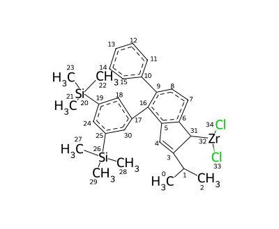 CC(C)C1=Cc2c(ccc(-c3ccccc3)c2-c2cc([Si](C)(C)C)cc([Si](C)(C)C)c2)[CH]1[Zr]([Cl])[Cl]